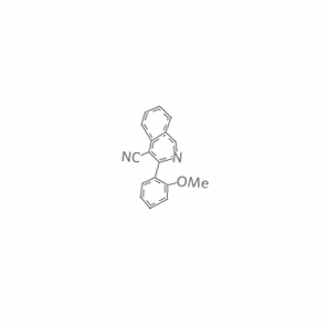 COc1ccccc1-c1ncc2ccccc2c1C#N